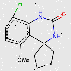 COc1ccc(Cl)c2c1C1(CCCC1)NC(=O)N2